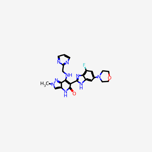 Cn1cc2[nH]c(=O)c(-c3nc4c(F)cc(N5CCOCC5)cc4[nH]3)c(NCc3ncccn3)c2n1